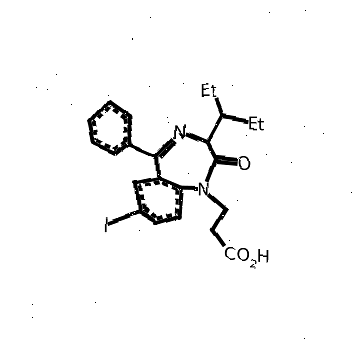 CCC(CC)C1N=C(c2ccccc2)c2cc(I)ccc2N(CCC(=O)O)C1=O